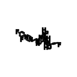 Nc1nc(NNC(=O)C#CCF)c2cnn(CCN3CCN(c4ccc(F)cc4F)CC3)c2n1